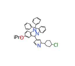 CC(C)Oc1ccc2c(c1)c(-c1ccnc(C3CCC(Cl)CC3)c1)nn2C(c1ccccc1)(c1ccccc1)c1ccccc1